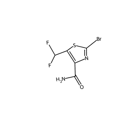 NC(=O)c1nc(Br)sc1C(F)F